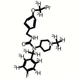 [2H]c1c([2H])c(C([2H])([2H])N(C(=O)NCc2ccc(OC([2H])([2H])C(C)C)cc2)C2CCN(C([2H])([2H])[2H])CC2)c([2H])c([2H])c1F